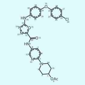 CC(=O)OC1CCN(c2ccc(NC(=O)c3nnc(Nc4ccc(Oc5ccc(Cl)cc5)cc4)o3)cn2)CC1